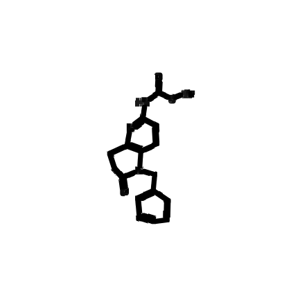 CC(C)(C)OC(=O)Nc1ccc2c(n1)CCC(=O)N2Cc1ccccc1